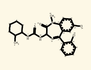 CC1CCCCC1NC(=S)NC1N=C(c2ccccc2Cl)c2cc(Cl)ccc2N(C)C1=O